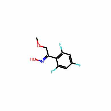 COCC(=NO)c1c(F)cc(F)cc1F